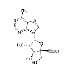 C#C[C@]1(CO)O[C@@H](n2cnc3c(N)ncnc32)[C@@H](C)[C@@H]1O